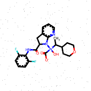 CC(C1CCOCC1)[N+](O)(C(=O)[O-])N1c2ncccc2CC1C(=O)Nc1c(F)cccc1F